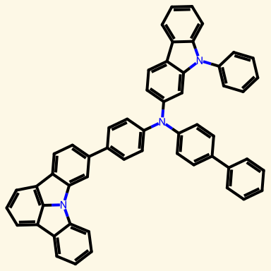 c1ccc(-c2ccc(N(c3ccc(-c4ccc5c6cccc7c8ccccc8n(c5c4)c76)cc3)c3ccc4c5ccccc5n(-c5ccccc5)c4c3)cc2)cc1